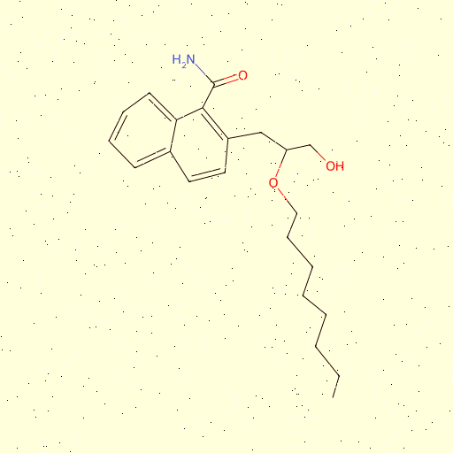 CCCCCCCCOC(CO)Cc1ccc2ccccc2c1C(N)=O